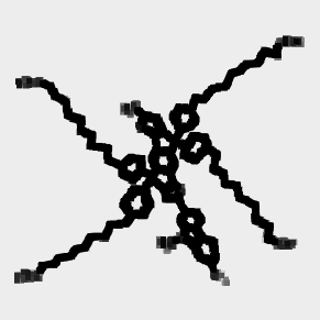 CCCCCCCCCCCCCCCCCCCCc1ccc(C2(c3ccc(CCCCCCCCCCCCCCCCCCCC)cc3)c3cc4c(cc3-c3sc(C)cc32)C(c2ccc(CCCCCCCCCCCCCCCCCCCC)cc2)(c2ccc(CCCCCCCCCCCCCCCCCCCC)cc2)c2cc(-c3ccc5c6ccc(C)cc6n(C)c5c3)sc2-4)cc1